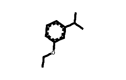 CCOc1[c]ccc(C(C)C)c1